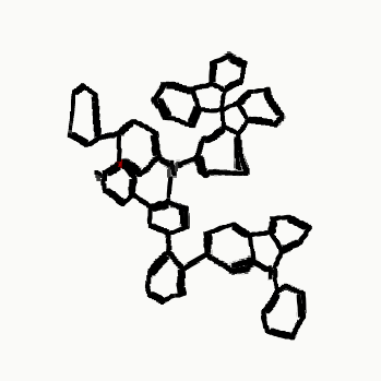 c1ccc(-c2ccc(N(c3ccc4c(c3)C3(c5ccccc5-c5ccccc53)c3ccccc3-4)c3ccc(-c4ccccc4-c4ccc5c6ccccc6n(-c6ccccc6)c5c4)cc3-c3ccncc3)cc2)cc1